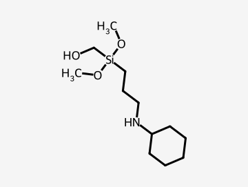 CO[Si](CO)(CCCNC1CCCCC1)OC